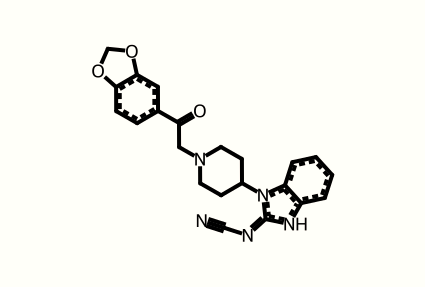 N#CN=c1[nH]c2ccccc2n1C1CCN(CC(=O)c2ccc3c(c2)OCO3)CC1